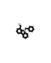 O=Cc1cccc2c3ccccc3n(Cc3ccccc3)c12